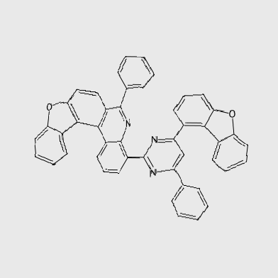 c1ccc(-c2cc(-c3cccc4oc5ccccc5c34)nc(-c3cccc4c3nc(-c3ccccc3)c3ccc5oc6ccccc6c5c34)n2)cc1